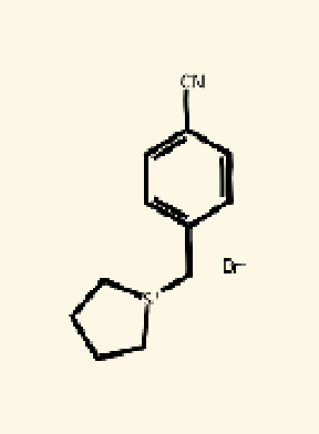 N#Cc1ccc(C[S+]2CCCC2)cc1.[Br-]